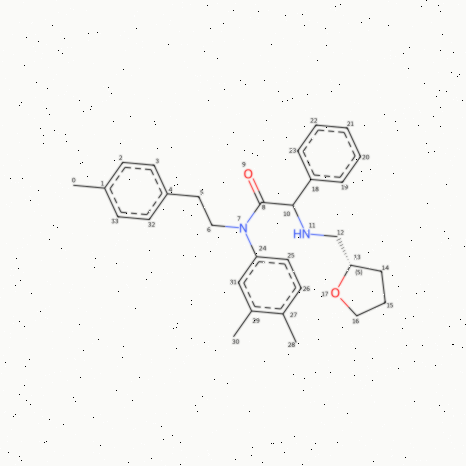 Cc1ccc(CCN(C(=O)C(NC[C@@H]2CCCO2)c2ccccc2)c2ccc(C)c(C)c2)cc1